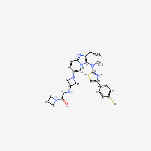 CCc1nc2ccc(N3CC(NCC(=O)N4CCC4)C3)cn2c1N(C)c1nc(-c2ccc(F)cc2)cs1